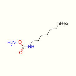 CCCCCCCCCCCCNC(=O)ON